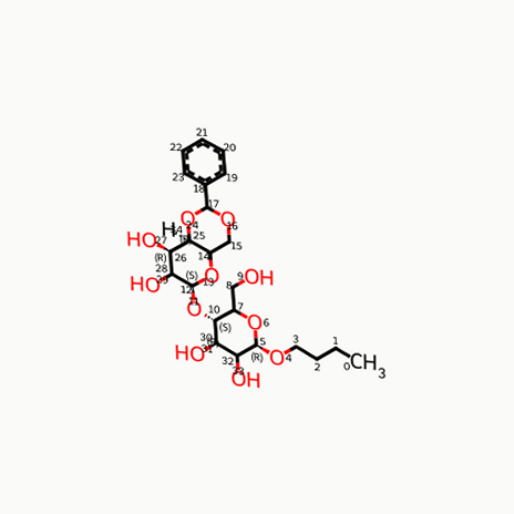 CCCCO[C@@H]1OC(CO)[C@@H](O[C@@H]2OC3COC(c4ccccc4)O[C@@H]3[C@H](O)C2O)[C@H](O)C1O